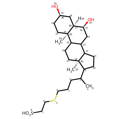 CC(CCCSCCS(=O)(=O)O)C1CCC2C3C[C@H](O)[C@@H]4C[C@H](O)CC[C@]4(C)C3CC[C@]12C